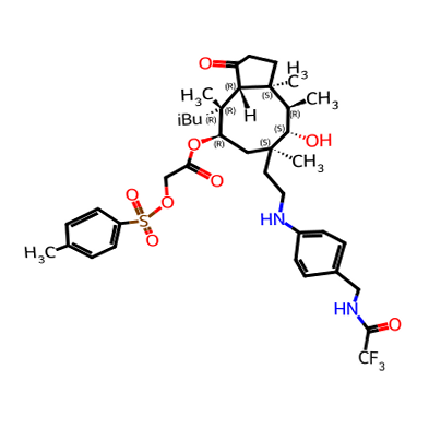 CC[C@@H](C)[C@]1(C)[C@@H]2C(=O)CC[C@@]2(C)[C@@H](C)[C@H](O)[C@@](C)(CCNc2ccc(CNC(=O)C(F)(F)F)cc2)C[C@H]1OC(=O)COS(=O)(=O)c1ccc(C)cc1